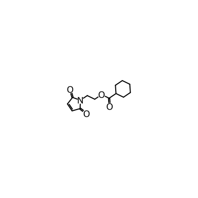 O=C(OCCN1C(=O)C=CC1=O)C1CCCCC1